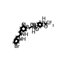 O=C(COc1cc2[nH]c(-c3cc4ccc(Br)cc4[nH]3)cc2cc1Cl)NS(=O)(=O)c1ccc(NC(=O)C(F)(F)F)cc1